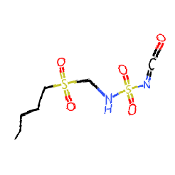 CCCCS(=O)(=O)CNS(=O)(=O)N=C=O